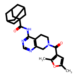 Cc1cc(C(=O)N2CCc3c(ncnc3NC(=O)C34CC5CC(CC(C5)C3)C4)C2)c(C)o1